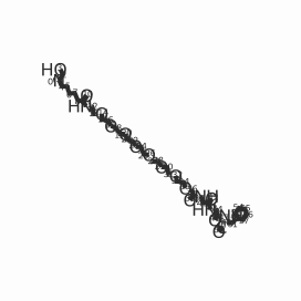 CN(CO)CCCCCC(=O)NCCOCCOCCOCCOCCOCCOCCOCCOCC(=O)NCC(=O)NCC(=O)NC(=C=O)Cc1ccccc1